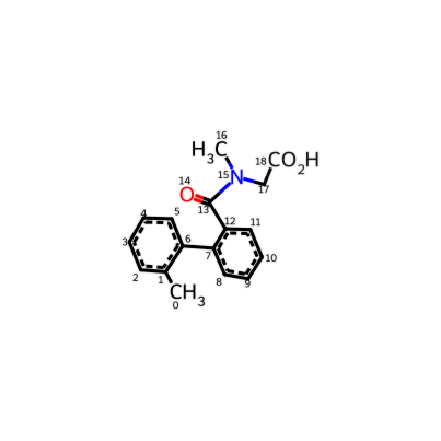 Cc1ccccc1-c1ccccc1C(=O)N(C)CC(=O)O